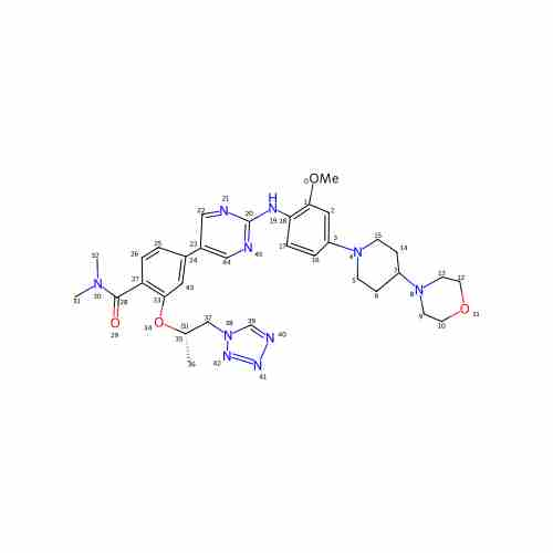 COc1cc(N2CCC(N3CCOCC3)CC2)ccc1Nc1ncc(-c2ccc(C(=O)N(C)C)c(O[C@@H](C)Cn3cnnn3)c2)cn1